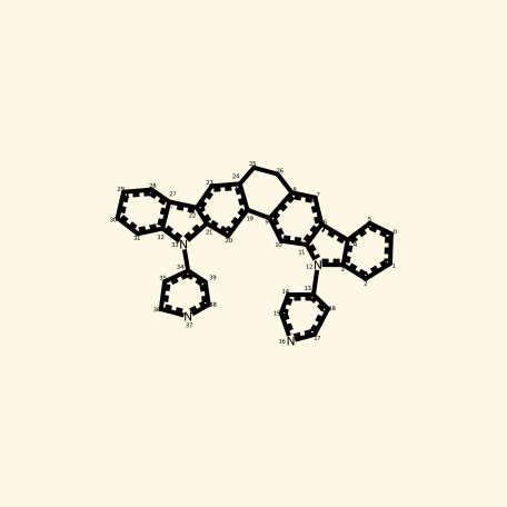 c1ccc2c(c1)c1cc3c(cc1n2-c1ccncc1)-c1cc2c(cc1CC3)c1ccccc1n2-c1ccncc1